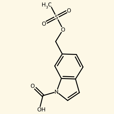 CS(=O)(=O)OCc1ccc2ccn(C(=O)O)c2c1